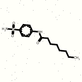 CCCCCCCC(=O)Nc1ccc(S(N)(=O)=O)cc1